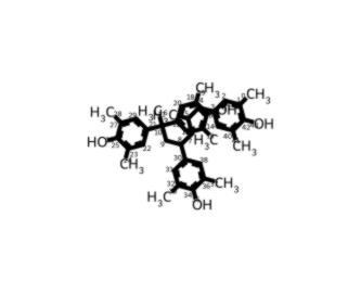 Cc1cc(CC(C)CC(CC(C)(c2cc(C)c(O)c(C)c2)c2cc(C)c(O)c(C)c2)c2cc(C)c(O)c(C)c2)cc(C)c1O